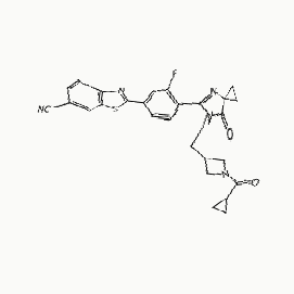 N#Cc1ccc2nc(-c3ccc(C4=NC5(CC5)C(=O)N4CC4CN(C(=O)C5CC5)C4)c(F)c3)sc2c1